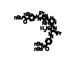 CCCCC(CCCC)C(=O)c1ccc(/N=N/c2c(C(C)C)nn(-c3cc(-n4nc(C(C)C)c(/N=N/c5ccc(C(=O)N(CCCC)CCCC)cc5)c4N)ncn3)c2N)cc1